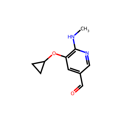 CNc1ncc(C=O)cc1OC1CC1